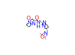 CC1CN(Cc2ccc3nc(CNC(=O)c4cc(=O)n5ccccc5n4)cn3c2)CC(C)O1